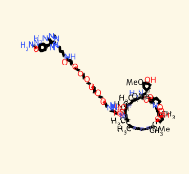 CO[C@H]1C[C@@H]2CC[C@@H](C)[C@@](O)(O2)C(=O)C(=O)N2CCCC[C@H]2C(=O)O[C@H]([C@H](N)C[C@@H]2CC[C@@H](O)[C@H](OC)C2)C[C@@H](OC)[C@H](C)/C=C(\C)[C@@H](O)[C@@H](O)/C(=N\OCc2cn(CCOCCOCCOCCOCCOCCOCCC(=O)NCCCCn3nc(-c4ccc5oc(N)nc5c4)c4c(N)ncnc43)nn2)[C@H](C)C[C@H](C)/C=C/C=C/C=C/1C